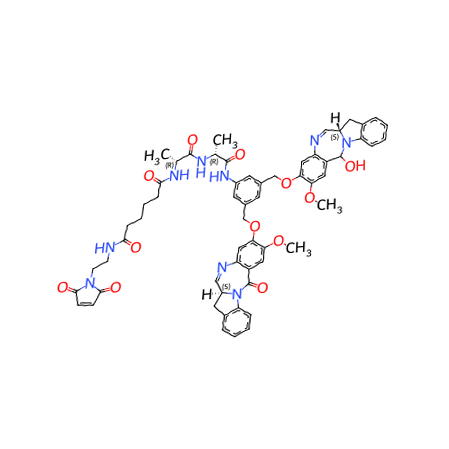 COc1cc2c(cc1OCc1cc(COc3cc4c(cc3OC)C(O)N3c5ccccc5C[C@H]3C=N4)cc(NC(=O)[C@@H](C)NC(=O)[C@@H](C)NC(=O)CCCCC(=O)NCCN3C(=O)C=CC3=O)c1)N=C[C@@H]1Cc3ccccc3N1C2=O